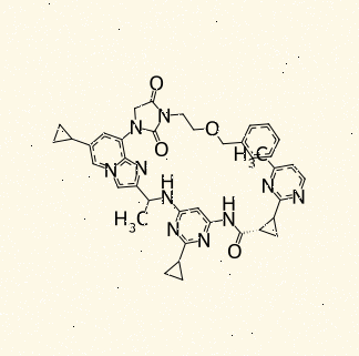 Cc1ccnc(C2C[C@@H]2C(=O)Nc2cc(NC(C)c3cn4cc(C5CC5)cc(N5CC(=O)N(CCOCc6ccccc6)C5=O)c4n3)nc(C3CC3)n2)n1